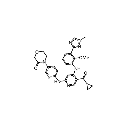 COc1c(Nc2cc(Nc3ccc(N4CCOCC4=O)cn3)ncc2C(=O)C2CC2)cccc1-c1ncn(C)n1